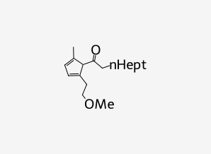 CCCCCCCCC(=O)C1C(C)=CC=C1CCOC